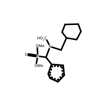 COP(=O)(OC)C(c1ccccc1)N(CC1CCCCC1)C(=O)O